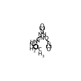 Cc1ccc(N)c(NN=Cc2nc(OCCN3CCOCC3)nc(N3CCOCC3)n2)c1